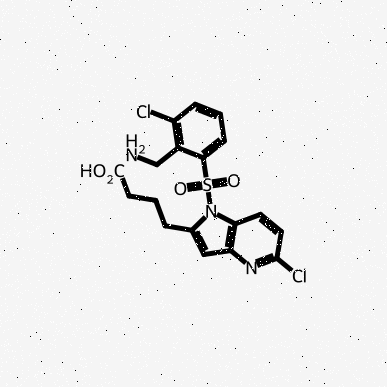 NCc1c(Cl)cccc1S(=O)(=O)n1c(CCCC(=O)O)cc2nc(Cl)ccc21